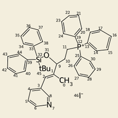 C/C(=C\c1cccnc1)C(CC[P+](c1ccccc1)(c1ccccc1)c1ccccc1)O[Si](c1ccccc1)(c1ccccc1)C(C)(C)C.[I-]